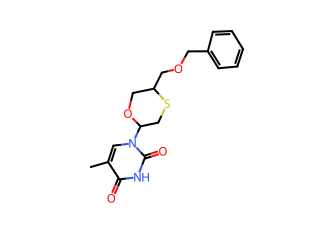 Cc1cn(C2CSC(COCc3ccccc3)CO2)c(=O)[nH]c1=O